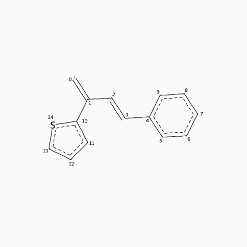 [CH]=C(C=Cc1ccccc1)c1cccs1